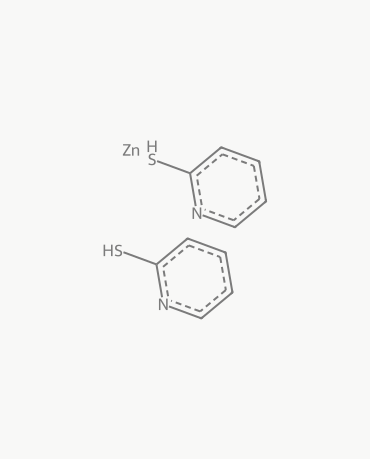 Sc1ccccn1.Sc1ccccn1.[Zn]